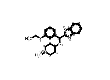 CCSc1cccc(C(OC2CCN(C)CC2)c2nc3ccccc3s2)c1